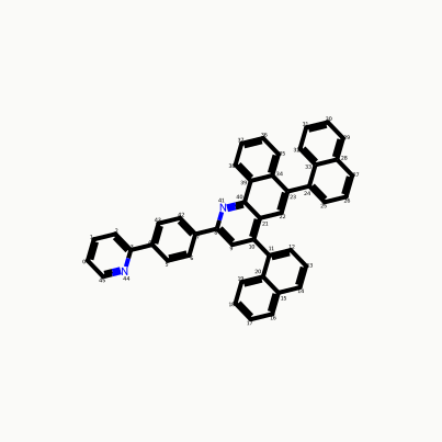 c1ccc(-c2ccc(-c3cc(-c4cccc5ccccc45)c4cc(-c5cccc6ccccc56)c5ccccc5c4n3)cc2)nc1